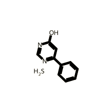 Oc1cc(-c2ccccc2)ncn1.S